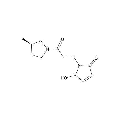 C[C@@H]1CCN(C(=O)CCN2C(=O)C=CC2O)C1